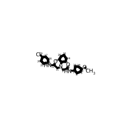 COc1ccc(NC(=O)CN(CC(=O)Nc2ccc(Cl)cc2)c2ccccc2)cc1